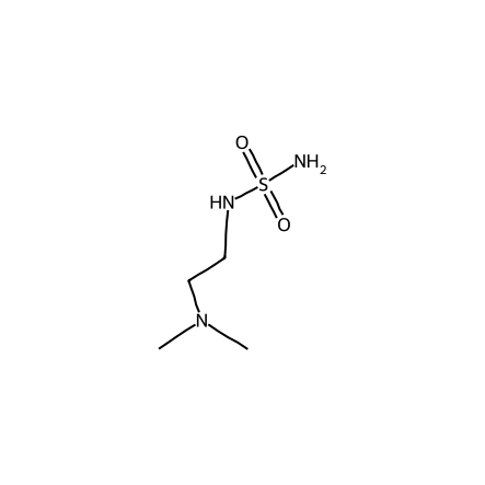 CN(C)CCNS(N)(=O)=O